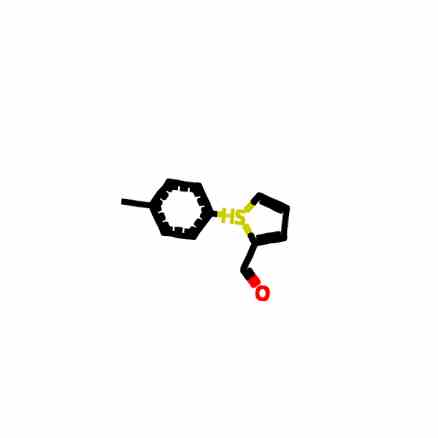 Cc1ccc([SH]2C=CC=C2C=O)cc1